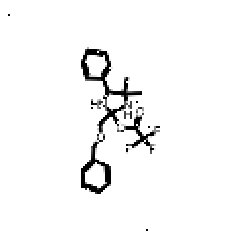 CC1(C)NC(COCc2ccccc2)(OC(=O)C(F)(F)F)NC1c1ccccc1